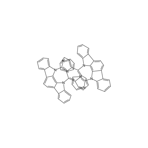 c1cnc(-n2c3ccccc3c3ccc4c5ccccc5n(-c5c6ccccc6c(-n6c7ccccc7c7ccc8c9ccccc9n(-c9ncccn9)c8c76)c6ccccc56)c4c32)nc1